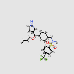 CCCCOC(C1CCC(CN(C)S(=O)(=O)c2ccc(C(F)(F)F)cc2)CC1)C1CCNC1